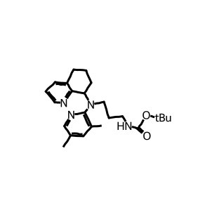 Cc1cnc(N(CCCNC(=O)OC(C)(C)C)C2CCCc3cccnc32)c(C)c1